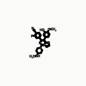 CNC1CCN(c2nc(-c3ccc(C#N)c(F)c3)c(-c3ccc(OC)c(O)c3)c3nccn23)CC1